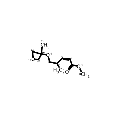 COC(=O)/C=C\C(C)COC1(C)COC1